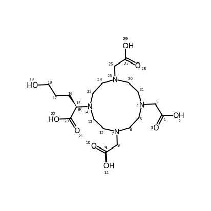 O=C(O)CN1CCN(CC(=O)O)CCN([C@H](CCCO)C(=O)O)CCN(CC(=O)O)CC1